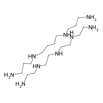 NCCCNCCCCNCCCN.NCCNCCNCCNCCN